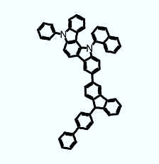 c1ccc(-c2ccc(C3c4ccccc4-c4cc(-c5ccc6c(c5)c5ccc7c(c8ccccc8n7-c7ccccc7)c5n6-c5cccc6ccccc56)ccc43)cc2)cc1